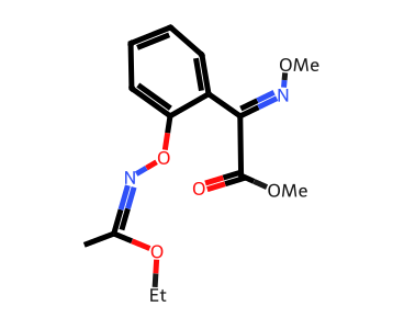 CCO/C(C)=N\Oc1ccccc1/C(=N\OC)C(=O)OC